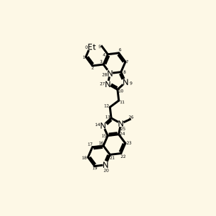 CC/C=C\c1c(C)ccc2nc(CCc3nc4c5cccnc5ccc4n3C)nn12